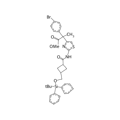 COC(=O)C(C)(c1ccc(Br)cc1)c1csc(NC(=O)C2CC(CO[Si](c3ccccc3)(c3ccccc3)C(C)(C)C)C2)n1